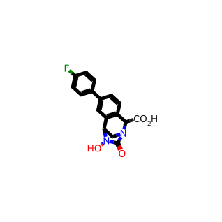 O=C(O)C1c2ccc(-c3ccc(F)cc3)cc2C2CN1C(=O)N2O